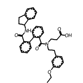 CCOc1cccc(CCN(CCC(=O)O)C(=O)c2ccccc2-c2ccccc2C(=O)NC2CCc3ccccc32)c1